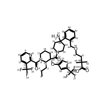 CCC[C@H]1N(C(=O)c2ncccc2C(F)(F)F)CCC[C@@]1(Oc1csc(C(F)(F)F)c1)C(=O)N1CCC(N)(c2ccccc2COCCC(C)(C)C(=O)O)CC1